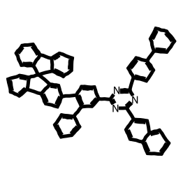 c1ccc(-c2ccc(-c3nc(-c4ccc(-c5ccc6c(c5)C5(c7ccccc7-c7ccccc75)c5ccccc5-6)c(-c5ccccc5)c4)nc(-c4ccc5ccccc5c4)n3)cc2)cc1